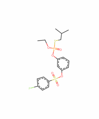 CCOP(=O)(Oc1cccc(OS(=O)(=O)c2ccc(F)cc2)c1)SCC(C)C